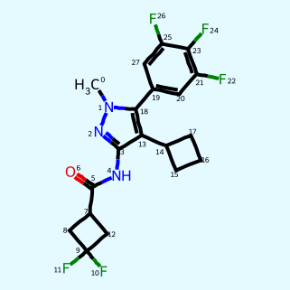 Cn1nc(NC(=O)C2CC(F)(F)C2)c(C2CCC2)c1-c1cc(F)c(F)c(F)c1